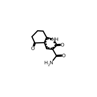 NC(=O)c1cc2c([nH]c1=O)CCCC2=O